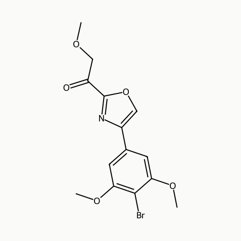 COCC(=O)c1nc(-c2cc(OC)c(Br)c(OC)c2)co1